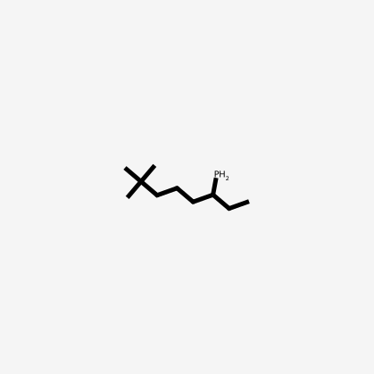 CCC(P)CCCC(C)(C)C